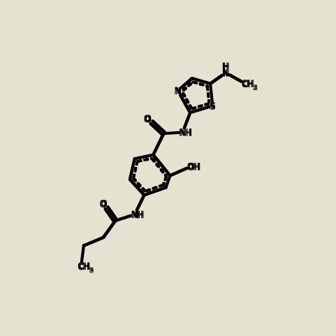 CCCC(=O)Nc1ccc(C(=O)Nc2ncc(NC)s2)c(O)c1